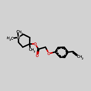 C=Cc1ccc(OCC(=O)OC2(C)CC[Si](C)(C)CC2)cc1